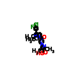 Cc1cc(N2CCCN(C(=O)c3ccc4c(-c5ccc(Cl)c(F)c5)cn(C(C)(C)C)c4n3)CC2)nc(C)c1C(=O)O